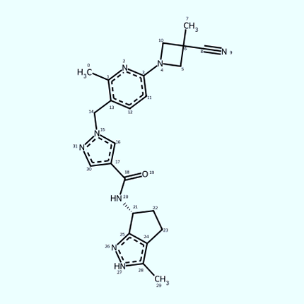 Cc1nc(N2CC(C)(C#N)C2)ccc1Cn1cc(C(=O)N[C@@H]2CCc3c2n[nH]c3C)cn1